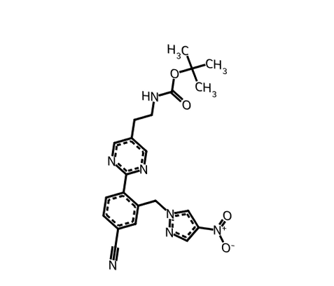 CC(C)(C)OC(=O)NCCc1cnc(-c2ccc(C#N)cc2Cn2cc([N+](=O)[O-])cn2)nc1